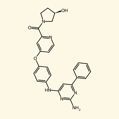 Nc1nc(Nc2ccc(Oc3ccnc(C(=O)N4CC[C@@H](O)C4)c3)cc2)cc(-c2ccccc2)n1